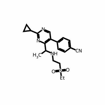 CCS(=O)(=O)CCNC(C)c1nc(C2CC2)ncc1-c1ccc(C#N)cc1